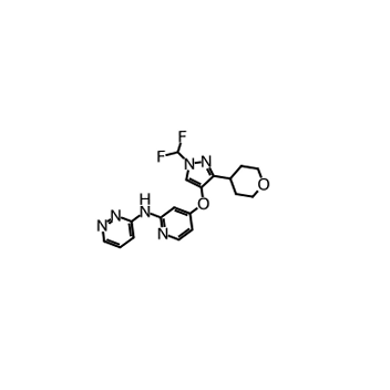 FC(F)n1cc(Oc2ccnc(Nc3cccnn3)c2)c(C2CCOCC2)n1